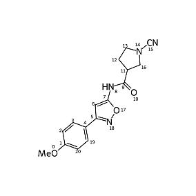 COc1ccc(-c2cc(NC(=O)C3CCN(C#N)C3)on2)cc1